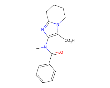 CN(C(=O)c1ccccc1)c1nc2n(c1C(=O)O)CCCC2